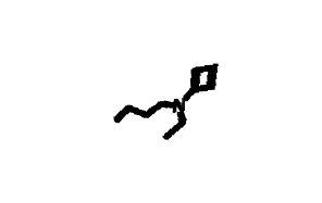 CCCCN(CC)C1=CC=C1